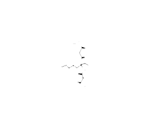 CCCCCC(CC)(OC(=O)CC(=O)O)OC(=O)CC(=O)O